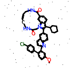 COc1ccc(-c2ccc(Cl)cc2)c(-c2ccc3cc(-c4c(C5CCCCC5)c5ccc6cc5n4CC(=O)NCC/C=C\CCNC6=O)ccc3n2)c1